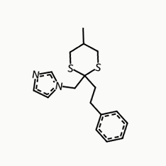 CC1CSC(CCc2ccccc2)(Cn2ccnc2)SC1